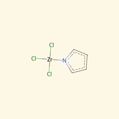 [Cl][Zr]([Cl])([Cl])[n]1cccc1